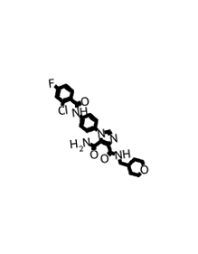 NC(=O)c1c(C(=O)NCC2CCOCC2)ncn1-c1ccc(NC(=O)c2ccc(F)cc2Cl)cc1